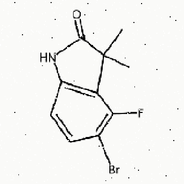 CC1(C)C(=O)Nc2ccc(Br)c(F)c21